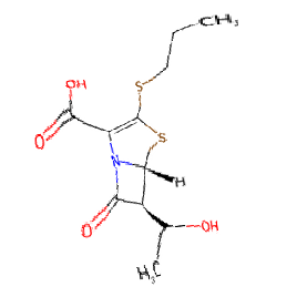 CCCSC1=C(C(=O)O)N2C(=O)[C@H](C(C)O)[C@H]2S1